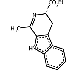 CCOC(=O)[C@@H]1Cc2c([nH]c3ccccc23)C(C)=N1